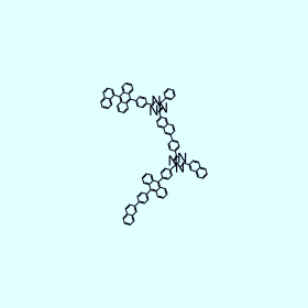 c1ccc(-c2nc(-c3ccc(-c4c5ccccc5c(-c5cccc6ccccc56)c5ccccc45)cc3)nc(-c3ccc4cc(-c5ccc(-c6nc(-c7ccc(-c8c9ccccc9c(-c9ccc(-c%10ccc%11ccccc%11c%10)cc9)c9ccccc89)cc7)nc(-c7ccc8ccccc8c7)n6)cc5)ccc4c3)n2)cc1